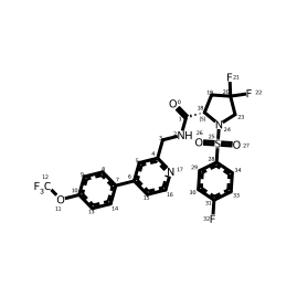 O=C(NCc1cc(-c2ccc(OC(F)(F)F)cc2)ccn1)[C@@H]1CC(F)(F)CN1S(=O)(=O)c1ccc(F)cc1